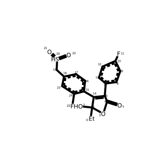 CCC1(O)OC(=O)C(c2ccc(F)cc2)=C1c1ccc(C[SH](=O)=O)cc1F